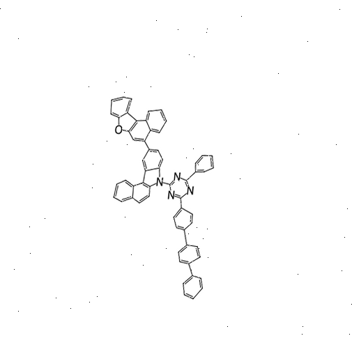 c1ccc(-c2ccc(-c3ccc(-c4nc(-c5ccccc5)nc(-n5c6ccc(-c7cc8oc9ccccc9c8c8ccccc78)cc6c6c7ccccc7ccc65)n4)cc3)cc2)cc1